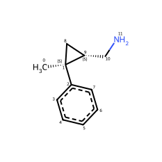 C[C@]1(c2ccccc2)C[C@@H]1CN